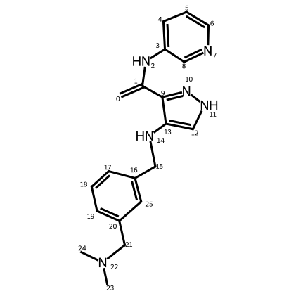 C=C(Nc1cccnc1)c1n[nH]cc1NCc1cccc(CN(C)C)c1